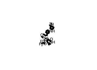 Cn1ncc2cc(Nc3cccc(CC4COCCN4C4SC5=C(CC(C)(C)NC5=O)N4OC(=O)C(F)(F)F)c3)ccc21